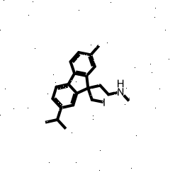 CNCCC1(CI)c2cc(C)ccc2-c2ccc(C(C)C)cc21